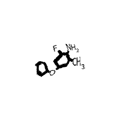 Cc1cc(Oc2ccccc2)cc(F)c1N